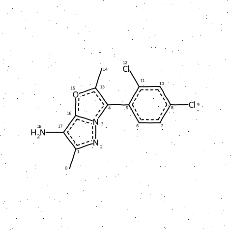 Cc1nn2c(-c3ccc(Cl)cc3Cl)c(C)oc2c1N